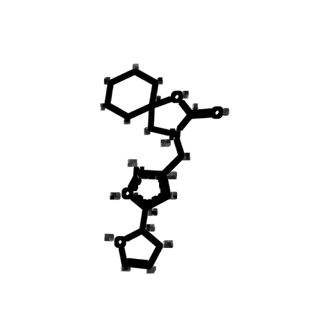 O=C1OC2(CCCCC2)CN1Cc1cc(C2CC=CO2)on1